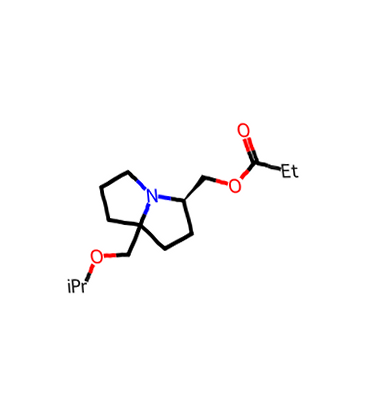 CCC(=O)OC[C@H]1CCC2(COC(C)C)CCCN12